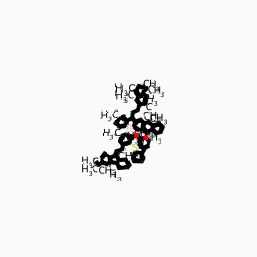 Cc1cc(C)c2c(c1)C(CCc1cc3c(cc1C)C(C)(C)CC3(C)C)c1cc3c(cc1B2c1ccc(CCC2c4ccc(C(C)(C)C)cc4C4(C)CCCCC24C)cc1C(C)c1cccc2c1sc1ccccc12)C(C)(C)c1ccccc1C3(C)C